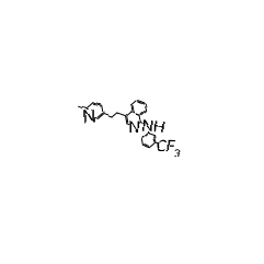 Cc1ccc(CCc2cnc(Nc3cccc(C(F)(F)F)c3)c3ccccc23)cn1